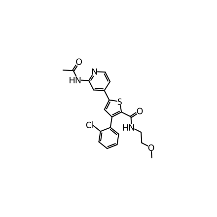 COCCNC(=O)c1sc(-c2ccnc(NC(C)=O)c2)cc1-c1ccccc1Cl